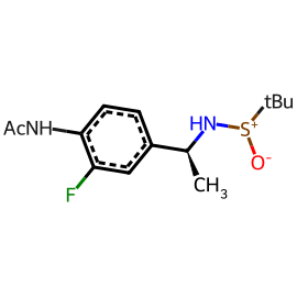 CC(=O)Nc1ccc([C@H](C)N[S+]([O-])C(C)(C)C)cc1F